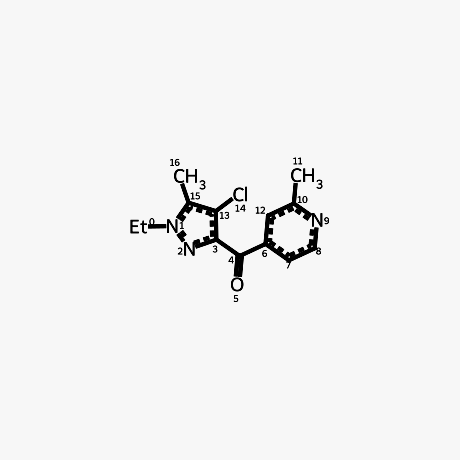 CCn1nc(C(=O)c2ccnc(C)c2)c(Cl)c1C